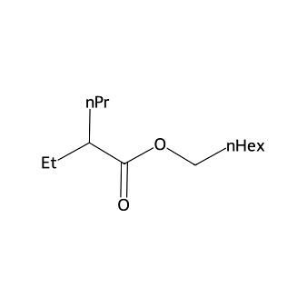 CCCCCCCOC(=O)C(CC)CCC